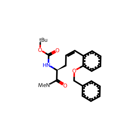 CNC(=O)[C@H](C/C=C\c1ccccc1OCc1ccccc1)NC(=O)OC(C)(C)C